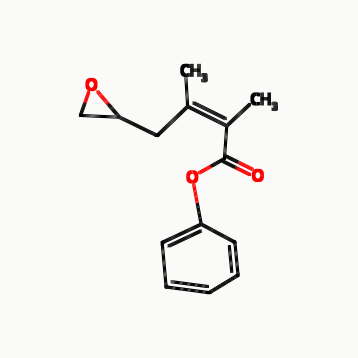 CC(CC1CO1)=C(C)C(=O)Oc1ccccc1